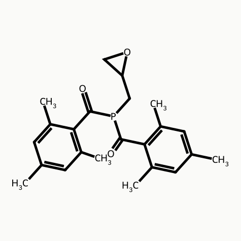 Cc1cc(C)c(C(=O)P(CC2CO2)C(=O)c2c(C)cc(C)cc2C)c(C)c1